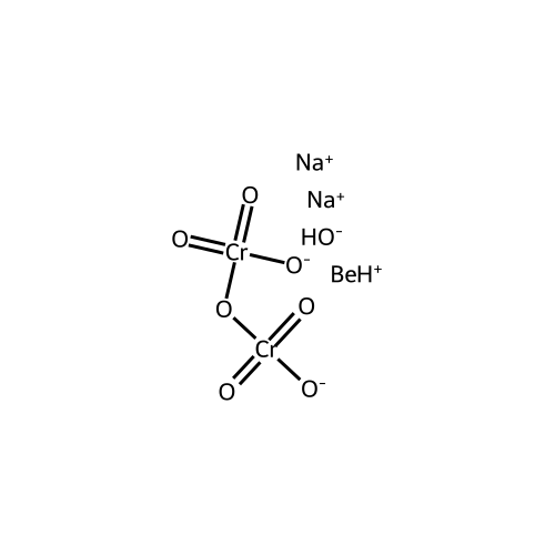 [BeH+].[Na+].[Na+].[OH-].[O]=[Cr](=[O])([O-])[O][Cr](=[O])(=[O])[O-]